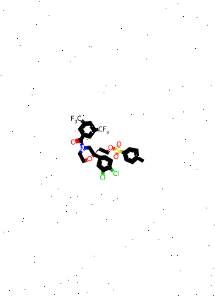 Cc1ccc(S(=O)(=O)OCC[C@@]2(c3ccc(Cl)c(Cl)c3)CN(C(=O)c3cc(C(F)(F)F)cc(C(F)(F)F)c3)CCO2)cc1